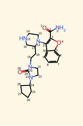 NC(=O)c1oc2ccccc2c1N1CCNCC1CCN1CCN(C2CCCC2)C1=O